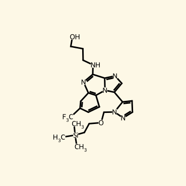 C[Si](C)(C)CCOCn1nccc1-c1cnc2c(NCCCO)nc3cc(C(F)(F)F)ccc3n12